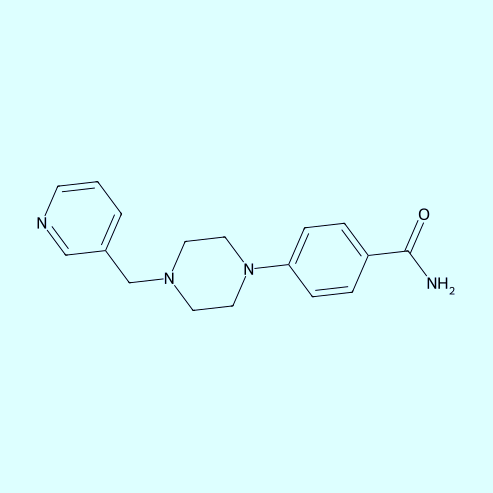 NC(=O)c1ccc(N2CCN(Cc3cccnc3)CC2)cc1